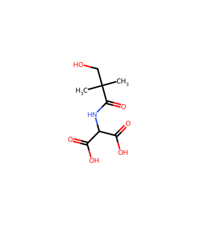 CC(C)(CO)C(=O)NC(C(=O)O)C(=O)O